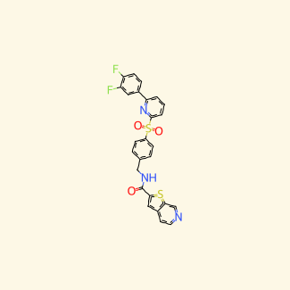 O=C(NCc1ccc(S(=O)(=O)c2cccc(-c3ccc(F)c(F)c3)n2)cc1)c1cc2ccncc2s1